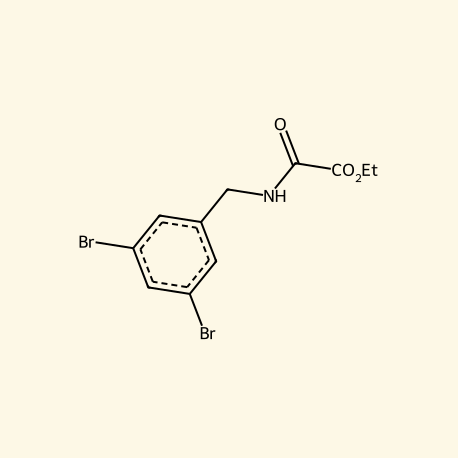 CCOC(=O)C(=O)NCc1cc(Br)cc(Br)c1